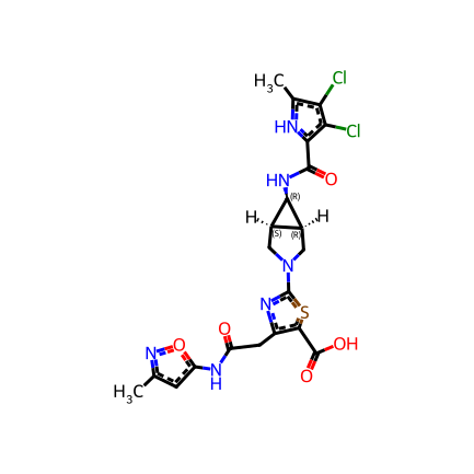 Cc1cc(NC(=O)Cc2nc(N3C[C@@H]4[C@H](C3)[C@@H]4NC(=O)c3[nH]c(C)c(Cl)c3Cl)sc2C(=O)O)on1